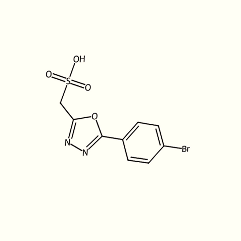 O=S(=O)(O)Cc1nnc(-c2ccc(Br)cc2)o1